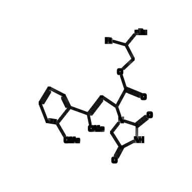 CCCCC(CC)COC(=O)C(C=C(OC)c1ccccc1OC)N1CC(=O)NC1=O